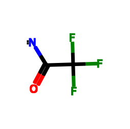 [N]C(=O)C(F)(F)F